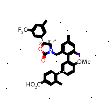 COc1ccc(-c2ccc(C(=O)O)cc2C)cc1-c1c(I)cc(C)cc1CN1C(=O)O[C@H](c2cc(C)cc(C(F)(F)F)c2)[C@@H]1C